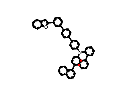 c1ccc(-c2ccccc2N(c2ccc(-c3ccc(-c4cccc(-c5cc6ccccc6o5)c4)cc3)cc2)c2ccc(-c3cccc4ccccc34)cc2)cc1